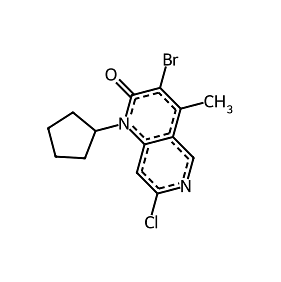 Cc1c(Br)c(=O)n(C2CCCC2)c2cc(Cl)ncc12